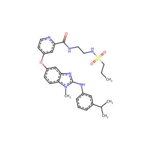 CCCS(=O)(=O)NCCNC(=O)c1cc(Oc2ccc3c(c2)nc(Nc2cccc(C(C)C)c2)n3C)ccn1